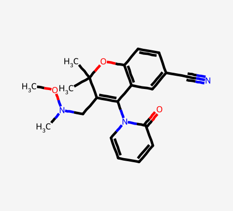 CON(C)CC1=C(n2ccccc2=O)c2cc(C#N)ccc2OC1(C)C